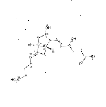 CCC(CC)CCC(O)C=CC1C(O)C[C@@H]2C(=NOCCC(=O)O)C[C@@H]12